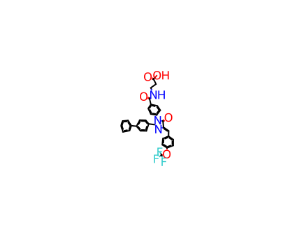 O=C(O)CCNC(=O)c1ccc(N2C(=O)C(=Cc3ccc(OC(F)(F)F)cc3)N=C2c2ccc(-c3ccccc3)cc2)cc1